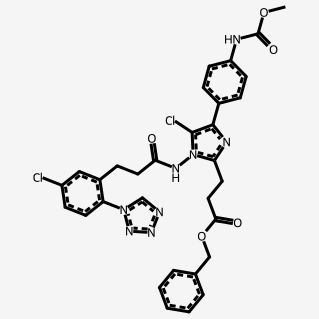 COC(=O)Nc1ccc(-c2nc(CCC(=O)OCc3ccccc3)n(NC(=O)CCc3cc(Cl)ccc3-n3cnnn3)c2Cl)cc1